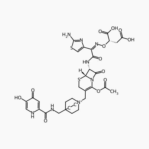 CC(=O)OC1=C(C[N+]23CCC(CNC(=O)c4cc(=O)c(O)c[nH]4)(CC2)CC3)CS[C@@H]2[C@H](NC(=O)/C(=N\O[C@@H](CC(=O)O)C(=O)O)c3csc(N)n3)C(=O)N12